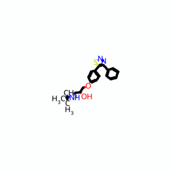 CC(C)(C)NCC(O)COc1ccc(-c2snnc2-c2ccccc2)cc1